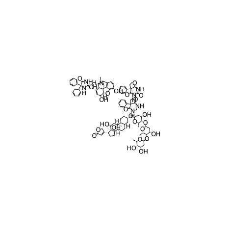 CCC1(c2ccccc2)C(=O)NC(=O)NC1=O.CCC1(c2ccccc2)C(=O)NCNC1=O.CN1CC[C@]23c4c5ccc(O)c4O[C@H]2[C@@H](O)C=C[C@H]3[C@H]1C5.C[C@H]1O[C@@H](O[C@H]2[C@@H](O)C[C@H](O[C@H]3[C@@H](O)C[C@H](O[C@H]4CC[C@@]5(C)[C@H](CC[C@@H]6[C@@H]5C[C@@H](O)[C@]5(C)[C@@H](C7=CC(=O)OC7)CC[C@]65O)C4)O[C@@H]3C)O[C@@H]2C)C[C@H](O)[C@@H]1O.O=C1NC(=O)C(c2ccccc2)(c2ccccc2)N1